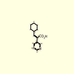 O=C(O)/C(=C\C1CCCCC1)c1cncnc1